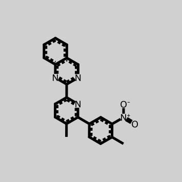 Cc1ccc(-c2nc(-c3ncc4ccccc4n3)ccc2C)cc1[N+](=O)[O-]